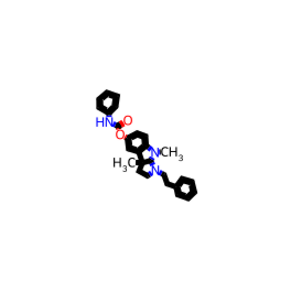 CN1c2ccc(OC(=O)Nc3ccccc3)cc2C2(C)CCN(CCc3ccccc3)C12